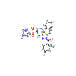 Cc1ccc(C(=O)NC2Cc3ccccc3C23CCN(S(=O)(=O)c2cn(C)cn2)CC3)c(F)c1